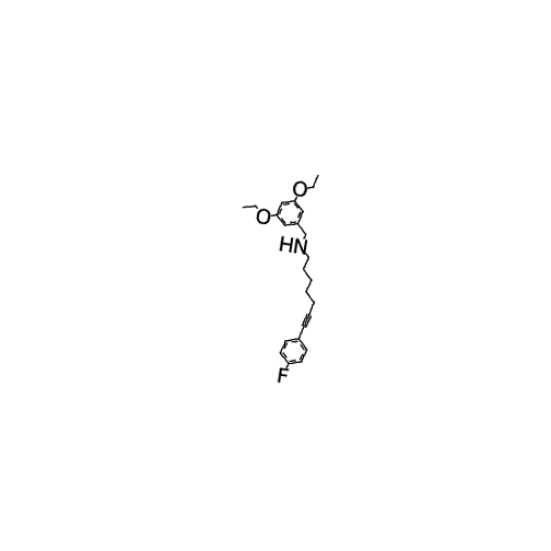 CCOc1cc(CNCCCCCC#Cc2ccc(F)cc2)cc(OCC)c1